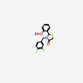 CCOc1ccccc1C1SCC(=O)N1Cc1ccc(F)c(F)c1